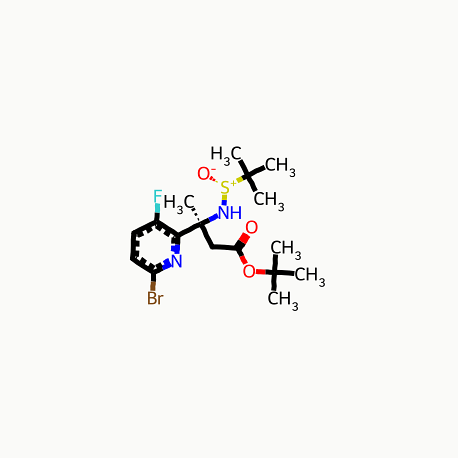 CC(C)(C)OC(=O)C[C@](C)(N[S@+]([O-])C(C)(C)C)c1nc(Br)ccc1F